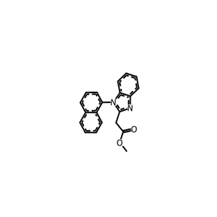 COC(=O)Cc1nc2ccccc2n1-c1cccc2ccccc12